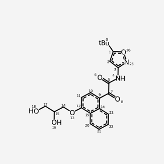 CC(C)(C)c1cc(NC(=O)C(=O)c2ccc(OCC(O)CO)c3ccccc23)no1